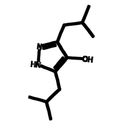 CC(C)Cc1n[nH]c(CC(C)C)c1O